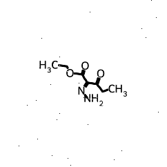 CCOC(=O)C(=NN)C(=O)CC